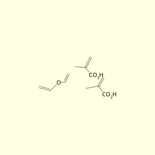 C=C(C)C(=O)O.C=C(C)C(=O)O.C=COC=C